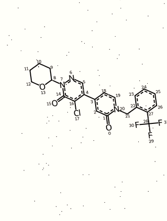 O=c1cc(-c2cnn(C3CCCCO3)c(=O)c2Cl)ccn1Cc1ccccc1C(F)(F)F